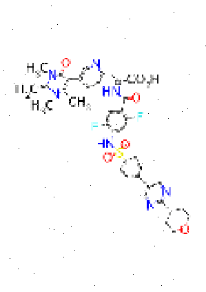 C=C1N(C)C(=O)C(c2ccc(C[C@H](NC(=O)c3cc(F)c(NS(=O)(=O)c4ccc(-c5cnc(C6CCOCC6)nc5)cc4)cc3F)C(=O)O)nc2)=C(C)N1C